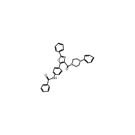 O=C(Nc1ccc(-c2oc(-c3ccccc3)nc2C(=O)N2CCN(c3ccccc3)CC2)cc1)c1ccccc1